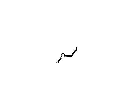 [CH2]OCI